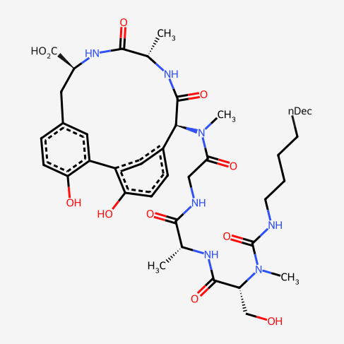 CCCCCCCCCCCCCCNC(=O)N(C)[C@H](CO)C(=O)N[C@H](C)C(=O)NCC(=O)N(C)[C@@H]1C(=O)N[C@@H](C)C(=O)N[C@H](C(=O)O)Cc2ccc(O)c(c2)-c2cc1ccc2O